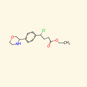 CCOC(=O)CCC(Cl)c1ccc(C2COCCN2)cc1